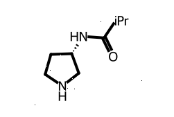 CC(C)C(=O)N[C@H]1CCNC1